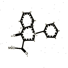 COC(=O)c1cn(-c2ccccc2)c2ccccc2c1=O